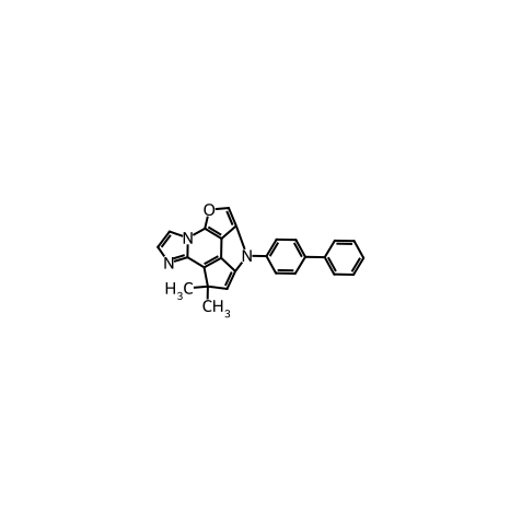 CC1(C)C=c2c3c1c1nccn1c1occ(c31)n2-c1ccc(-c2ccccc2)cc1